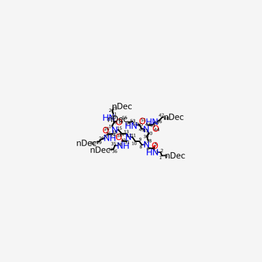 CCCCCCCCCCCCNC(=O)CN(CCCCN(CCCN(CC(=O)NCCCCCCCCCCCC)CC(=O)NCCCCCCCCCCCC)CC(=O)NCCCCCCCCCCCC)CCCN(CC(=O)NCCCCCCCCCCCC)CC(=O)NCCCCCCCCCCCC